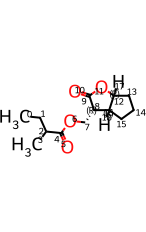 CCC(C)C(=O)OC[C@@H]1C(=O)O[C@@H]2CCC[C@H]12